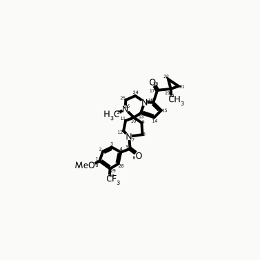 COc1ccc(C(=O)N2CCC3(CC2)c2ccc(C(=O)C4(C)CC4)n2CCN3C)cc1C(F)(F)F